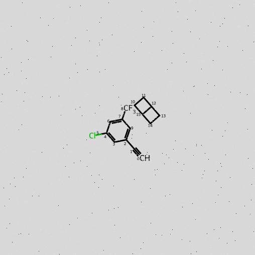 C#Cc1cc(Cl)cc(C(F)(F)F)c1.C1CC2CCC12